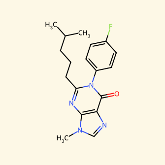 CC(C)CCCc1nc2c(ncn2C)c(=O)n1-c1ccc(F)cc1